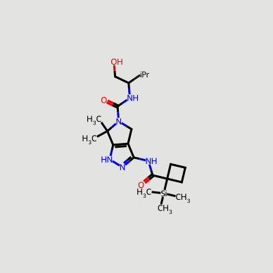 CC(C)C(CO)NC(=O)N1Cc2c(NC(=O)C3([Si](C)(C)C)CCC3)n[nH]c2C1(C)C